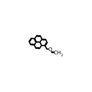 C=COCC1=CC=C2C=Cc3cccc4c3C2C1C=C4